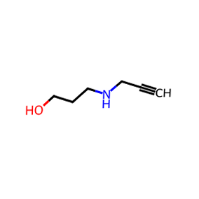 C#CCNCCCO